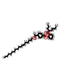 CCCCCCCCCCCCCCCCCCOC(C)c1ccc(C(=O)Oc2ccccc2OC(CCC)CCCC)cc1